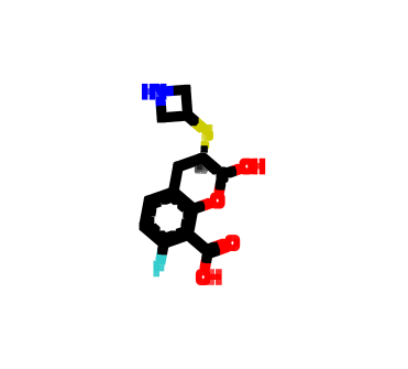 O=C(O)c1c(F)ccc2c1OB(O)[C@@H](SC1CNC1)C2